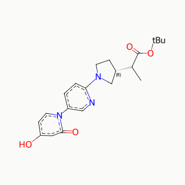 CC(C(=O)OC(C)(C)C)[C@H]1CCN(c2ccc(-n3ccc(O)cc3=O)cn2)C1